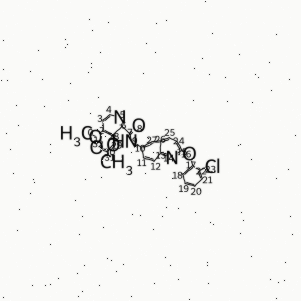 COc1ccnc(C(=O)Nc2ccc3nc(Oc4ccccc4Cl)ccc3c2)c1OC(C)=O